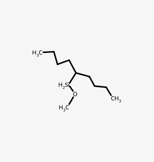 CCCCC(CCCC)[SiH2]OC